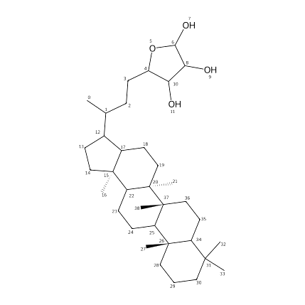 CC(CCC1OC(O)C(O)C1O)C1CC[C@@]2(C)C1CC[C@]1(C)C2CCC2[C@@]3(C)CCCC(C)(C)C3CC[C@]21C